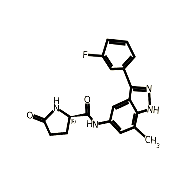 Cc1cc(NC(=O)[C@H]2CCC(=O)N2)cc2c(-c3cccc(F)c3)n[nH]c12